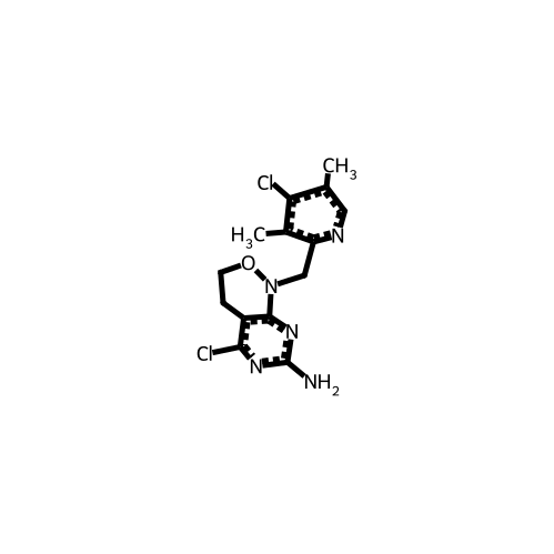 Cc1cnc(CN2OCCc3c(Cl)nc(N)nc32)c(C)c1Cl